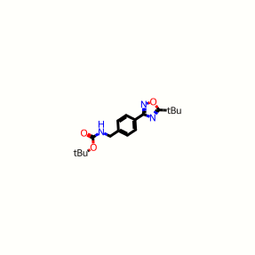 CC(C)(C)OC(=O)NCc1ccc(-c2noc(C(C)(C)C)n2)cc1